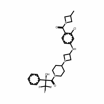 CC1CN(C(=O)c2ccc(NC3CN(C4CCN(C(=O)[C@@](O)(c5ccccc5)C(F)(F)F)CC4)C3)cc2Cl)C1